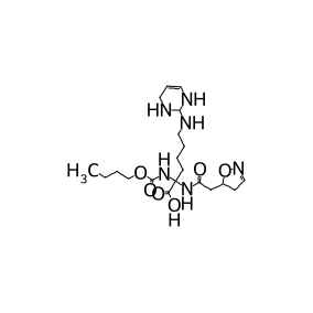 CCCCOC(=O)NC(CCCCNC1NC=CCN1)(NC(=O)CC1CC=NO1)C(=O)O